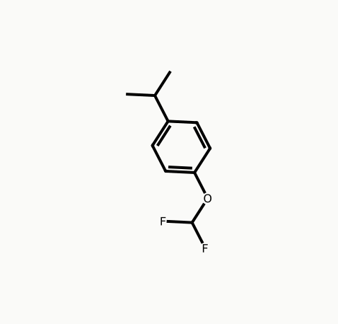 CC(C)c1ccc(OC(F)F)cc1